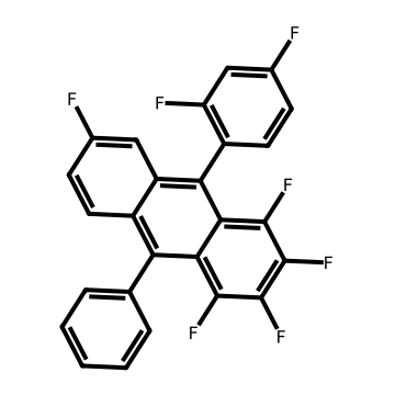 Fc1ccc(-c2c3cc(F)ccc3c(-c3ccccc3)c3c(F)c(F)c(F)c(F)c23)c(F)c1